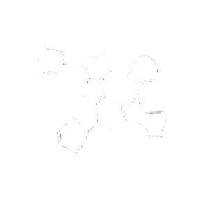 c1ccc(-c2cccc3c2sc2c(-c4ccccc4)cc4c5ccccc5n(-c5ccccc5)c4c23)cc1